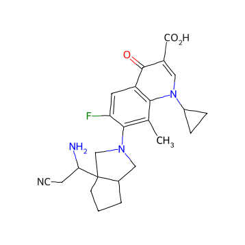 Cc1c(N2CC3CCCC3(C(N)CC#N)C2)c(F)cc2c(=O)c(C(=O)O)cn(C3CC3)c12